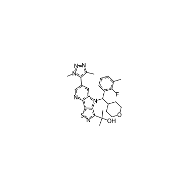 Cc1cccc(C(C2CCOCC2)n2c3cc(-c4c(C)nnn4C)cnc3c3snc(C(C)(C)O)c32)c1F